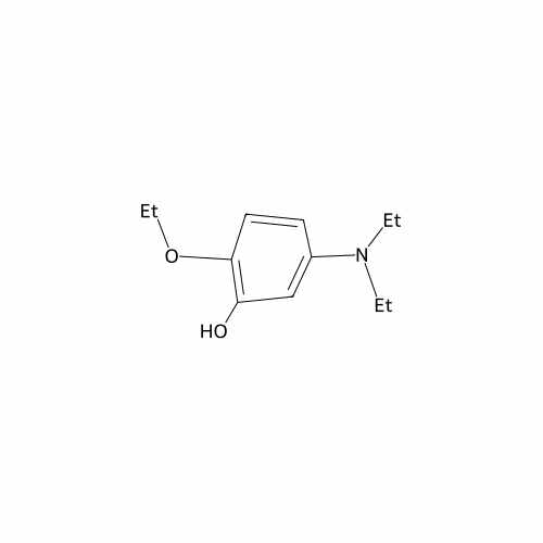 CCOc1ccc(N(CC)CC)cc1O